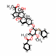 COC1C(OC(=O)c2ccccc2)C(C)OC(OC2CC[C@@]3(C)C(=CCC4C3C[C@@H](O)[C@]3(C)C(C(C)=O)CC[C@]43O)C2)C1Sc1ccccc1